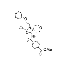 COC(=O)c1ccc(C2(NC(=O)C3(N(CCOc4ccccc4)CC4CC4)CCOCC3)CC2)cc1